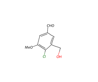 COc1cc(C=O)cc(CO)c1Cl